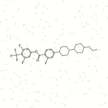 CCCC1CCC(C2CCC(c3ccc(C(=O)Oc4cc(F)c(C(F)(F)F)c(F)c4)c(F)c3)CC2)CC1